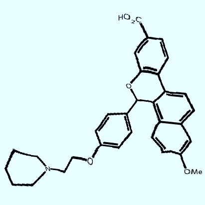 COc1ccc2c3c(ccc2c1)-c1ccc(C(=O)O)cc1OC3c1ccc(OCCN2CCCCC2)cc1